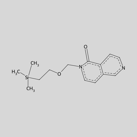 C[Si](C)(C)CCOCn1ccc2cnccc2c1=O